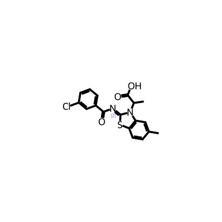 Cc1ccc2s/c(=N\C(=O)c3cccc(Cl)c3)n(C(C)C(=O)O)c2c1